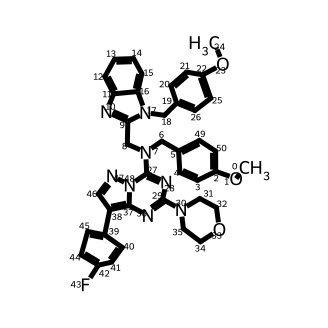 COc1ccc(CN(Cc2nc3ccccc3n2Cc2ccc(OC)cc2)c2nc(N3CCOCC3)nc3c(-c4ccc(F)cc4)cnn23)cc1